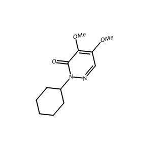 COc1cnn(C2CCCCC2)c(=O)c1OC